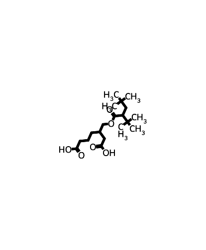 CC(C)(C)CC(C(=O)OCC(CCCC(=O)O)CC(=O)O)C(C)(C)C